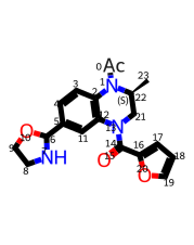 CC(=O)N1c2ccc(C3NCCO3)cc2N(C(=O)c2ccco2)C[C@@H]1C